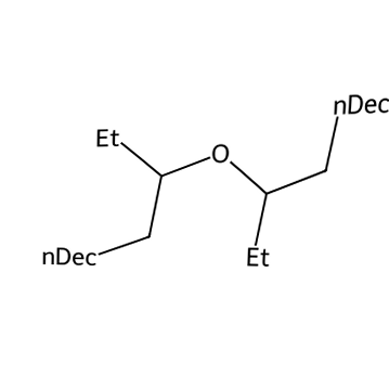 CCCCCCCCCCCC(CC)OC(CC)CCCCCCCCCCC